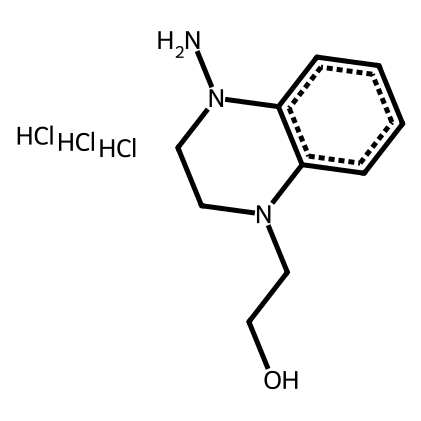 Cl.Cl.Cl.NN1CCN(CCO)c2ccccc21